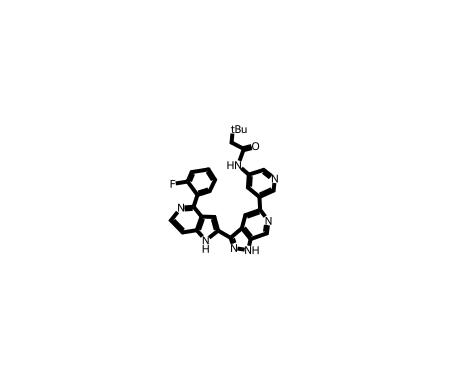 CC(C)(C)CC(=O)Nc1cncc(-c2cc3c(-c4cc5c(-c6ccccc6F)nccc5[nH]4)n[nH]c3cn2)c1